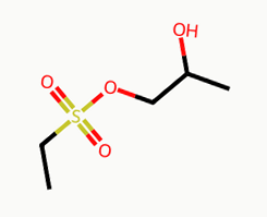 CCS(=O)(=O)OCC(C)O